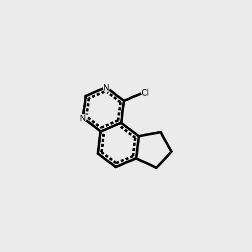 Clc1ncnc2ccc3c(c12)CCC3